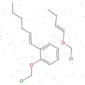 CCC=COCCl.CCCCC=Cc1ccccc1OCCl